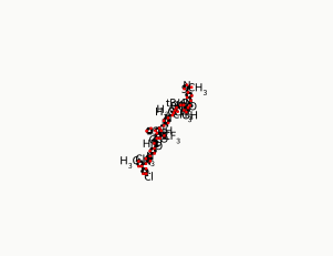 Cc1ncsc1-c1ccc(CNC(=O)[C@@H]2C[C@@H](O)CN2C(=O)[C@@H](NC(=O)C(C)(C)C(C)(C)CCN2CCN(CC[C@H](CSc3ccccc3)Nc3ccc(S(=O)(=O)NC(=O)c4ccc(N5CCN(CC6=C(c7ccc(Cl)cc7)CCC(C)(C)C6)CC5)cc4)cc3S(=O)(=O)C(F)(F)F)CC2)C(C)(C)C)cc1